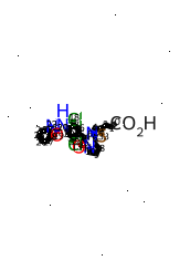 O=C(O)CCc1cnc([C@@H]2CCCN2C(=O)Cc2cc(Cl)c(Nc3nc4ccccc4o3)cc2Cl)s1